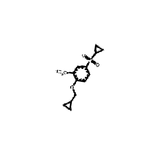 O=C(O)c1cc(S(=O)(=O)C2CC2)ccc1OCC1CC1